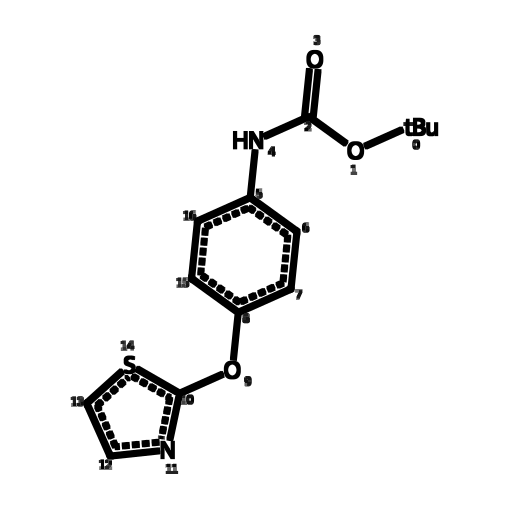 CC(C)(C)OC(=O)Nc1ccc(Oc2nccs2)cc1